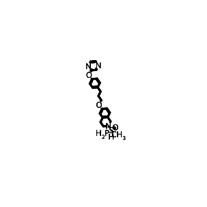 C[SH](=O)(P)N1CCc2cc(OCCCc3ccc(Oc4cnccn4)cc3)ccc2C1